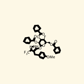 COc1ccc(Cc2c(C(F)(F)F)n[nH]c2O[C@@H]2O[C@H](COC(=O)c3ccccc3)[C@@H](F)[C@H](OC(=O)c3ccccc3)[C@H]2OC(=O)c2ccccc2)cc1